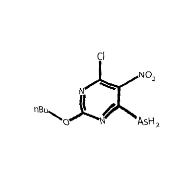 CCCCOc1nc(Cl)c([N+](=O)[O-])c([AsH2])n1